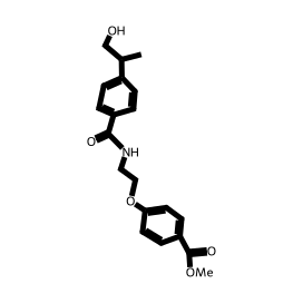 COC(=O)c1ccc(OCCNC(=O)c2ccc(C(C)CO)cc2)cc1